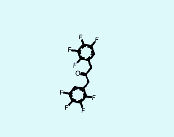 O=C(Cc1cc(F)c(F)c(F)c1F)Cc1cc(F)c(F)c(F)c1F